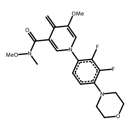 C=C1C(OC)=CN(c2ccc(N3CCOCC3)c(F)c2F)C=C1C(=O)N(C)OC